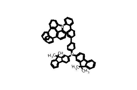 CC1(C)c2ccccc2-c2ccc(N(c3ccc(-c4ccc(-c5ccccc5-n5c6cccc(-c7ccccc7)c6c6c(-c7ccccc7)cccc65)cc4)cc3)c3ccc4c(c3)C(C)(C)c3ccccc3-4)cc21